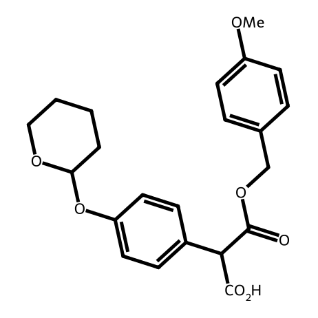 COc1ccc(COC(=O)C(C(=O)O)c2ccc(OC3CCCCO3)cc2)cc1